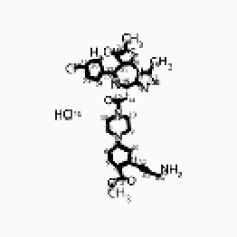 COC(=O)c1ccc(N2CCN(C(=O)C[C@@H]3N=C(c4ccc(Cl)cc4)c4c(sc(C)c4C)-n4c(C)nnc43)CC2)cc1C#CCN.Cl